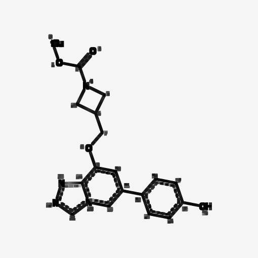 CC(C)(C)OC(=O)N1CC(COc2cc(-c3ccc(O)cc3)cn3cnnc23)C1